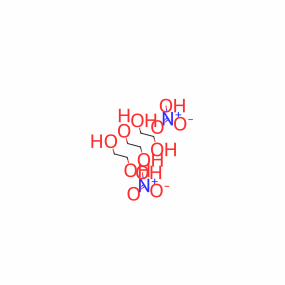 O=[N+]([O-])O.O=[N+]([O-])O.OCCO.OCCO.OCCO